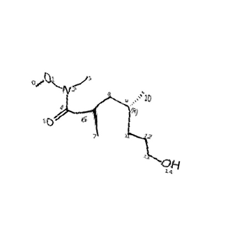 CON(C)C(=O)C(C)C[C@H](C)CCCO